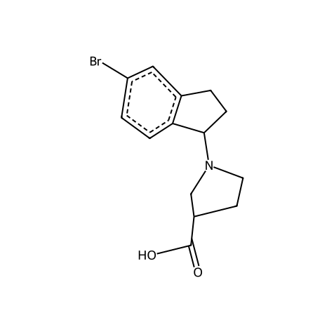 O=C(O)C1CCN(C2CCc3cc(Br)ccc32)C1